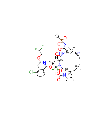 CCC(C)N(C(=O)O)[C@@H]1C(=O)N2[C@@H](C[C@@](C)(Oc3nc(OCC(F)F)cc4c(Cl)cccc34)C2(F)F)C(=O)N[C@]2(C(=O)NS(=O)(=O)C3CC3)C[C@H]2/C=C\CC[C@H](C)C[C@H]1C